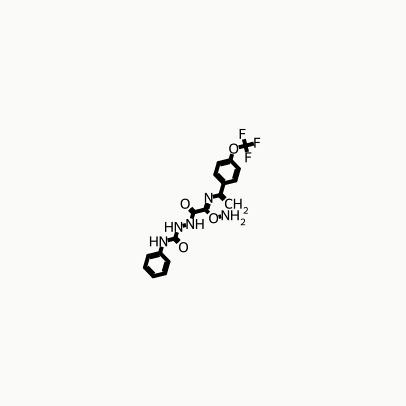 C=C(/N=C(\ON)C(=O)NNC(=O)Nc1ccccc1)c1ccc(OC(F)(F)F)cc1